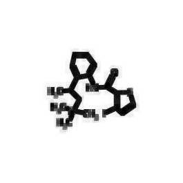 CC(C[Si](C)(C)C)c1ccccc1NC(=O)c1sccc1I